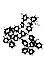 CC(C)(C)c1cc(-c2ccc(N3c4ccc(-c5cc(C(C)(C)C)cc(C(C)(C)C)c5)cc4B4c5cc([Si](c6ccccc6)(c6ccccc6)c6ccccc6)ccc5N(c5ccc([Si](c6ccccc6)(c6ccccc6)c6ccccc6)cc5)c5cc(N(c6ccc(C(C)(C)c7ccccc7)cc6)c6ccc(C(C)(C)c7ccccc7)cc6)cc3c54)cc2)cc(C(C)(C)C)c1